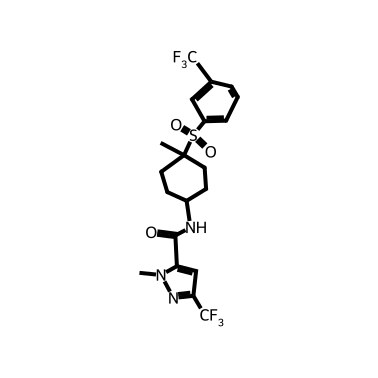 Cn1nc(C(F)(F)F)cc1C(=O)NC1CCC(C)(S(=O)(=O)c2cccc(C(F)(F)F)c2)CC1